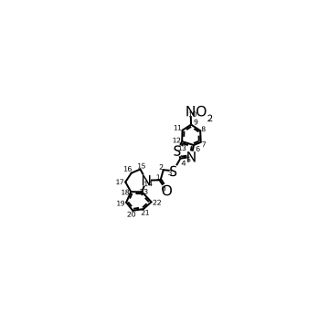 O=C(CSc1nc2ccc([N+](=O)[O-])cc2s1)N1CCCc2ccccc21